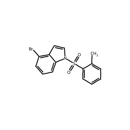 Cc1ccccc1S(=O)(=O)n1ccc2c(Br)cccc21